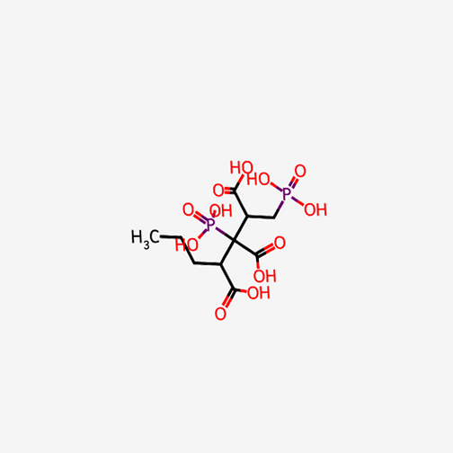 CCCC(C(=O)O)C(C(=O)O)(C(CP(=O)(O)O)C(=O)O)P(=O)(O)O